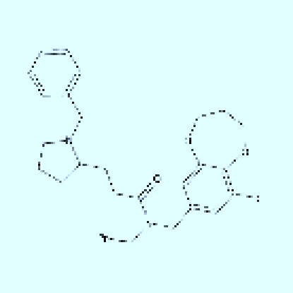 CC(C)CN(Cc1cc(Cl)c2c(c1)OCCCO2)C(=O)CCC1CCCN1Cc1ccccc1